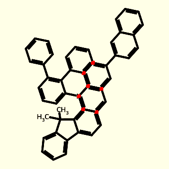 CC1(C)c2ccccc2-c2cccc(N(c3ccc(-c4ccc5ccccc5c4)cc3)c3cccc(-c4ccccc4)c3-c3ccccc3-c3ccccc3)c21